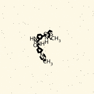 CC[C@H](NC(=O)c1ccc2[nH]nc(NC(=O)c3ccc(N4CCN(C)CC4)cc3)c2c1)c1cccs1